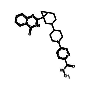 CNC(=O)c1ccc(N2CCC(N3CCC4CC4(c4nc5ccccc5c(=O)[nH]4)C3)CC2)cn1